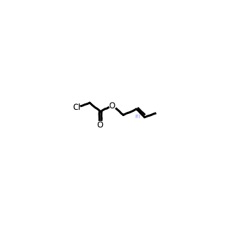 C/C=C/COC(=O)CCl